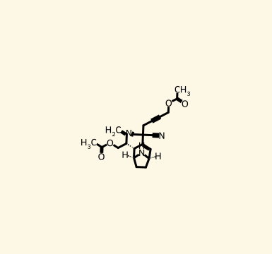 C=CC(COC(C)=O)[C@@H]1C(C(C#N)(C#N)CC#CCOC(C)=O)=C[C@H]2CC[C@@H]1N2